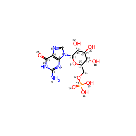 Nc1nc2c(ncn2[C@@H]2O[C@H](COP(=O)(O)O)[C@@H](O)[C@H](O)[C@H]2O)c(=O)[nH]1